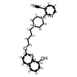 N#Cc1cccnc1N1CCN(CCCCOc2ccc3cccc(O)c3n2)CC1